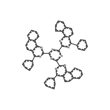 c1ccc(-c2nc(-c3nc(-c4nc(-c5ccccc5)c5ccc6ccccc6c5n4)nc(-c4nc(-c5ccccc5)c5ccc6ccccc6c5n4)n3)nc3c2ccc2ccccc23)cc1